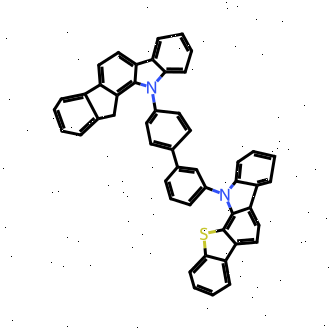 c1cc(-c2ccc(-n3c4ccccc4c4ccc5c(c43)Cc3ccccc3-5)cc2)cc(-n2c3ccccc3c3ccc4c5ccccc5sc4c32)c1